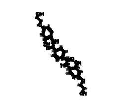 O=C(Nc1ccc(OCCO)cc1O)c1ccc(C(=O)Nc2ccc(OCCO)cc2O)cc1